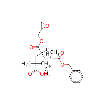 CCC(C)(CC(C)(CC(C)(C)C(=O)O)C(=O)OCC1CO1)C(=O)OCc1ccccc1